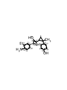 CCc1cc([C@@H]2NC(C3CC3(C)c3ccc(O)cc3)=C2O)ccc1N